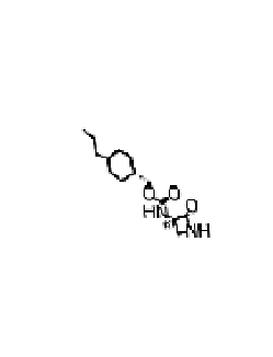 CCC[C@H]1CC[C@H](COC(=O)N[C@H]2CNC2=O)CC1